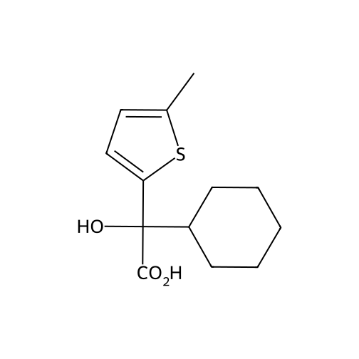 Cc1ccc(C(O)(C(=O)O)C2CCCCC2)s1